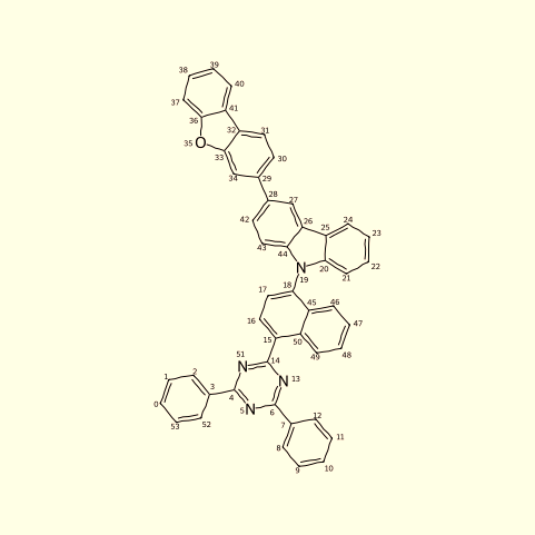 c1ccc(-c2nc(-c3ccccc3)nc(-c3ccc(-n4c5ccccc5c5cc(-c6ccc7c(c6)oc6ccccc67)ccc54)c4ccccc34)n2)cc1